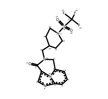 O=C1c2cnc3cccc(n23)CN1CC1CCN(S(=O)(=O)C(F)(F)F)CC1